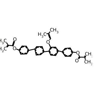 C=C(C)C(=O)Oc1ccc(-c2ccc(-c3ccc(-c4ccc(OC(=O)C(=C)C)cc4)cc3OC=C(C)C)cc2)cc1